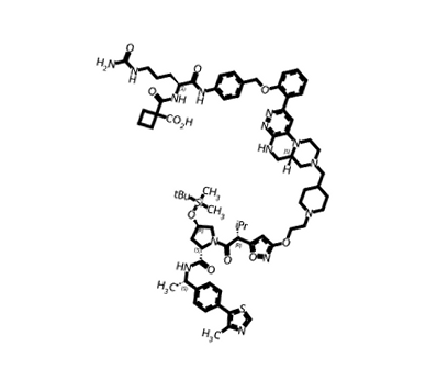 Cc1ncsc1-c1ccc([C@H](C)NC(=O)[C@@H]2C[C@@H](O[Si](C)(C)C(C)(C)C)CN2C(=O)[C@@H](c2cc(OCCN3CCC(CN4CCN5c6cc(-c7ccccc7OCc7ccc(NC(=O)[C@H](CCCNC(N)=O)NC(=O)C8(C(=O)O)CCC8)cc7)nnc6NC[C@H]5C4)CC3)no2)C(C)C)cc1